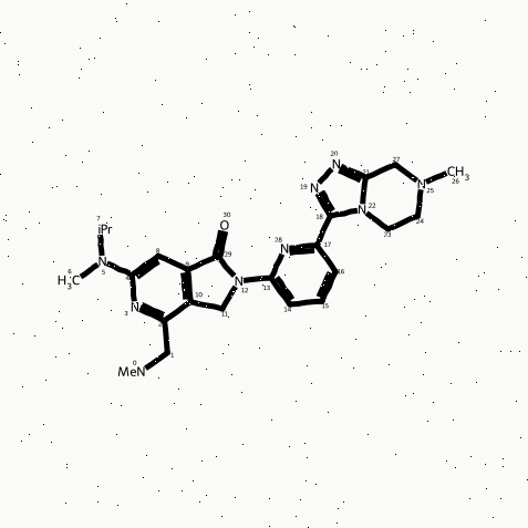 CNCc1nc(N(C)C(C)C)cc2c1CN(c1cccc(-c3nnc4n3CCN(C)C4)n1)C2=O